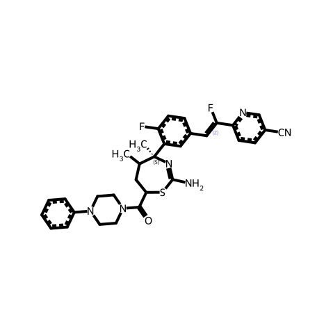 CC1CC(C(=O)N2CCN(c3ccccc3)CC2)SC(N)=N[C@]1(C)c1cc(/C=C(\F)c2ccc(C#N)cn2)ccc1F